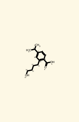 CC(C)c1ccc(C(=O)O)c(CCCCO)c1